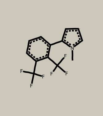 Cn1c[c]cc1-c1cccc(C(F)(F)F)c1C(F)(F)F